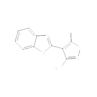 Cc1noc(C)c1-c1nc2ccccc2[nH]1